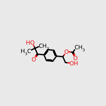 CC(=O)OC(CO)c1ccc(C(=O)C(C)(C)O)cc1